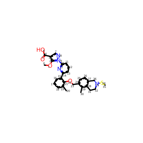 COc1c(C(=O)O)cnn1-c1cccc(-c2cccc(C)c2OCc2ccc3c(c2C)CCN(SC)C3)n1